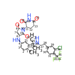 Cc1ccc(NC2=CC(=O)N(C3CCC(=O)NC3=O)C2=O)cc1C(C)(C)NCCc1ccc(C(F)(F)F)c(Cl)c1